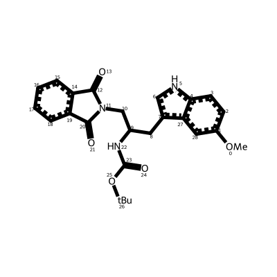 COc1ccc2[nH]cc(CC(CN3C(=O)c4ccccc4C3=O)NC(=O)OC(C)(C)C)c2c1